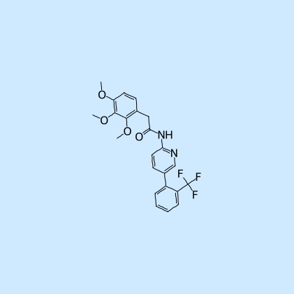 COc1ccc(CC(=O)Nc2ccc(-c3ccccc3C(F)(F)F)cn2)c(OC)c1OC